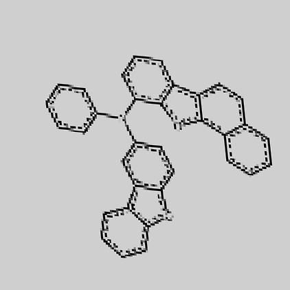 c1ccc(N(c2ccc3oc4ccccc4c3c2)c2cccc3c2oc2c4ccccc4ccc32)cc1